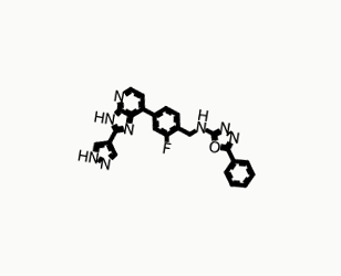 Fc1cc(-c2ccnc3[nH]c(-c4cn[nH]c4)nc23)ccc1CNc1nnc(-c2ccccc2)o1